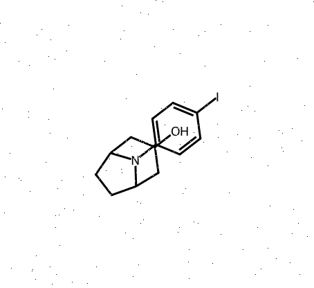 OC1CC2CCC(C1)N2c1ccc(I)cc1